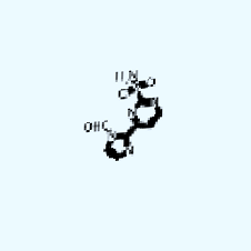 NS(=O)(=O)c1nccc(-c2nccn2C=O)n1